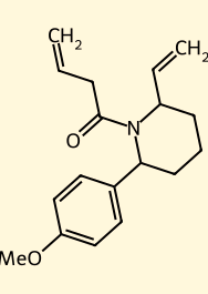 C=CCC(=O)N1C(C=C)CCCC1c1ccc(OC)cc1